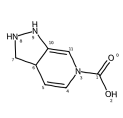 O=C(O)N1C=CC2CNNC2=C1